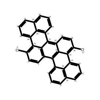 Clc1ccc2c3c4cccc5cccc(c6c(Cl)ccc(c7c8cccc9cccc(c1c27)c98)c63)c54